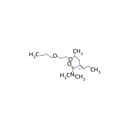 CC/C=C(\CC(C)OCCOCCCC)C(=O)N(C)C